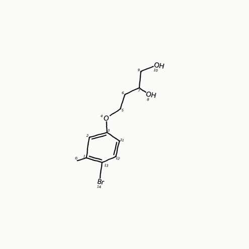 Cc1cc(OCCC(O)CO)ccc1Br